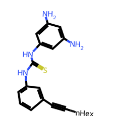 CCCCCCC#Cc1cccc(NC(=S)Nc2cc(N)cc(N)c2)c1